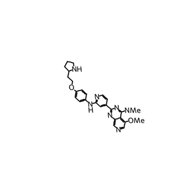 CNc1nc(-c2ccnc(Nc3ccc(OCCC4CCCN4)cc3)c2)nc2cncc(OC)c12